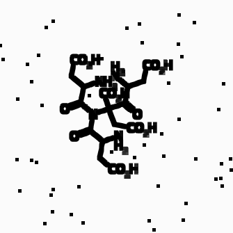 NC(CC(=O)O)C(=O)N(C(=O)C(N)CC(=O)O)C(CC(=O)O)(C(=O)O)C(=O)C(N)CC(=O)O